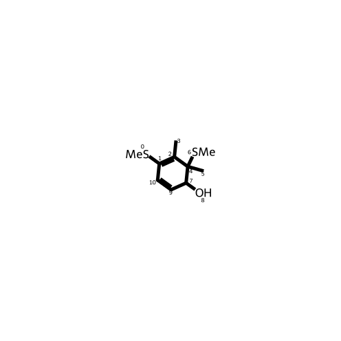 CSC1=C(C)C(C)(SC)C(O)C=C1